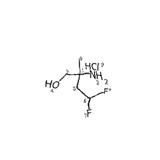 CC(N)(CO)CC(F)F.Cl